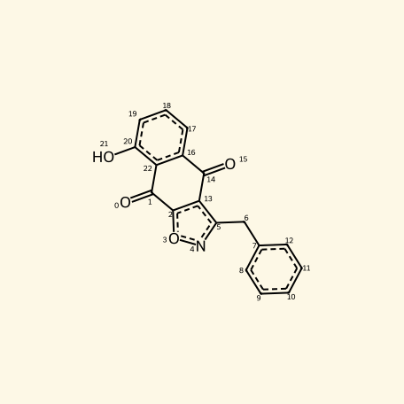 O=C1c2onc(Cc3ccccc3)c2C(=O)c2cccc(O)c21